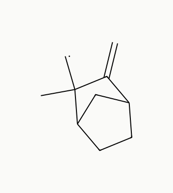 [CH2]C1(C)C(=C)C2CCC1C2